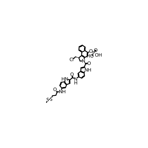 CSSCCC(=O)Nc1ccc2[nH]c(C(=O)Nc3ccc4[nH]c(C(=O)N5C[C@@H](CCl)c6c5cc(OP(=O)(O)O)c5ccccc65)cc4c3)cc2c1